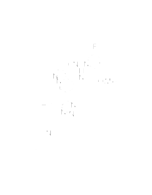 COC(CNc1cc(-c2nnn(C3CCN(C4COC4)CC3)c2C)cn2ncc(C#N)c12)c1ccc(F)cn1